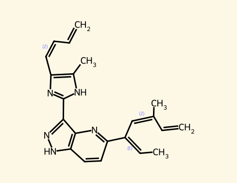 C=C/C=C\c1nc(-c2n[nH]c3ccc(C(/C=C(/C)C=C)=C/C)nc23)[nH]c1C